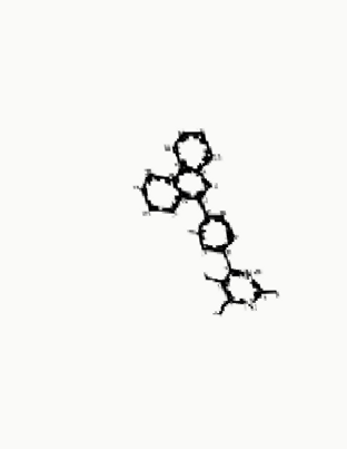 Cc1nc(C)c(C)c(-c2ccc(-c3cc4ccccc4c4ccccc34)cc2)n1